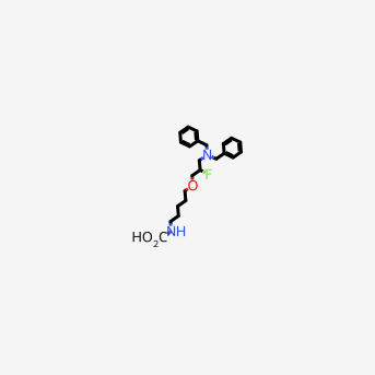 O=C(O)NCCCCCOCC(F)CN(Cc1ccccc1)Cc1ccccc1